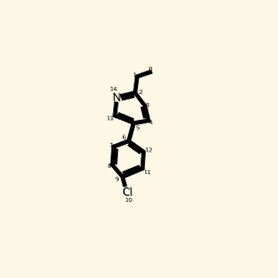 CCc1ccc(-c2ccc(Cl)cc2)cn1